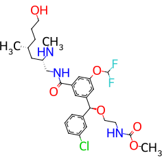 CN[C@H](CNC(=O)c1cc(OC(F)F)cc([C@@H](OCCNC(=O)OC)c2cccc(Cl)c2)c1)C[C@H](C)CCCO